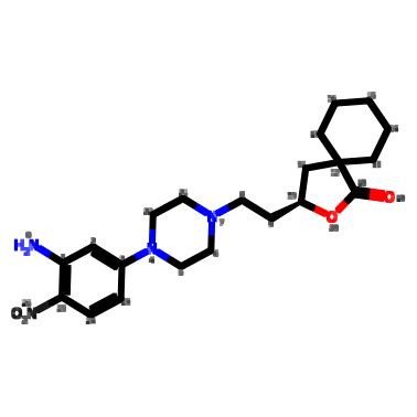 Nc1cc(N2CCN(CC[C@H]3CC4(CCCCC4)C(=O)O3)CC2)ccc1[N+](=O)[O-]